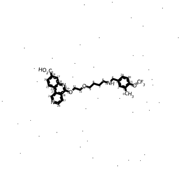 Cc1cc(CNCCCCOCCOc2nc3cc(C(=O)O)ccc3c3cnccc23)ccc1OC(F)(F)F